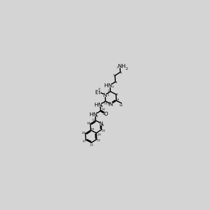 CCN1C(NCCCN)CC(C)=NC1NC(=O)Nc1cc2ccccc2cn1